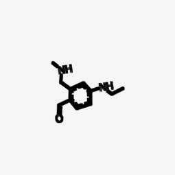 CCNc1ccc(C=O)c(CNC)c1